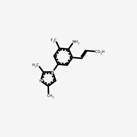 Cc1cn(-c2cc(/C=C/C(=O)O)c(N)c(C(F)(F)F)c2)c(C)n1